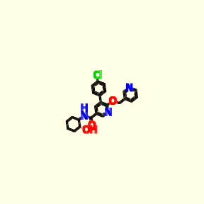 O=C(N[C@@H]1CCCC[C@H]1O)c1cnc(OCc2cccnc2)c(-c2ccc(Cl)cc2)c1